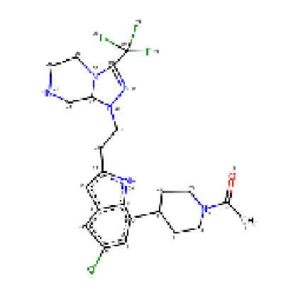 CC(=O)N1CCC(c2cc(Cl)cc3cc(CCN4N=C(C(F)(F)F)N5CCNCC45)[nH]c23)CC1